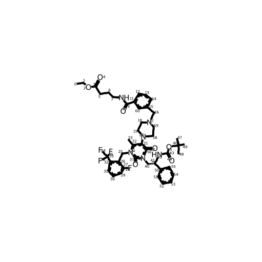 CCOC(=O)CCCNC(=O)c1cccc(CN2CCN(c3c(C)n(Cc4c(F)cccc4C(F)(F)F)c(=O)n(C[C@@H](NC(=O)OC(C)(C)C)c4ccccc4)c3=O)CC2)c1